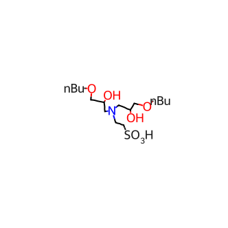 CCCCOCC(O)CN(CCS(=O)(=O)O)CC(O)COCCCC